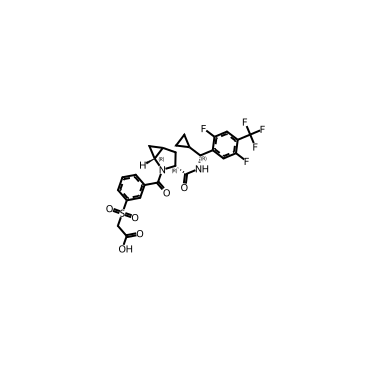 O=C(O)CS(=O)(=O)c1cccc(C(=O)N2[C@@H](C(=O)N[C@@H](c3cc(F)c(C(F)(F)F)cc3F)C3CC3)CC3C[C@H]32)c1